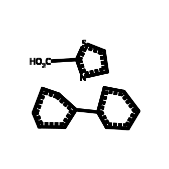 O=C(O)c1nccs1.c1ccc(-c2ccccc2)cc1